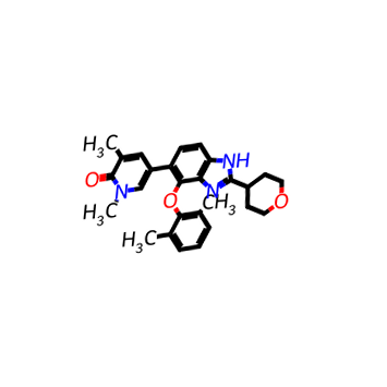 Cc1cccc(C)c1Oc1c(-c2cc(C)c(=O)n(C)c2)ccc2[nH]c(C3CCOCC3)nc12